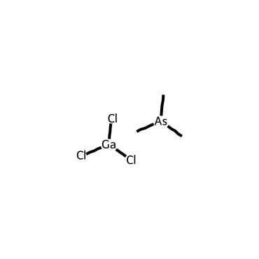 C[As](C)C.[Cl][Ga]([Cl])[Cl]